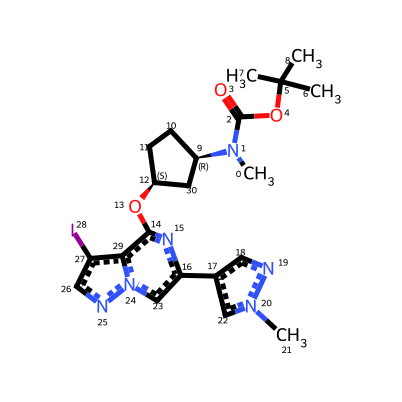 CN(C(=O)OC(C)(C)C)[C@@H]1CC[C@H](Oc2nc(-c3cnn(C)c3)cn3ncc(I)c23)C1